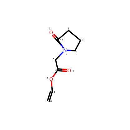 C=COC(=O)CN1CCCC1=O